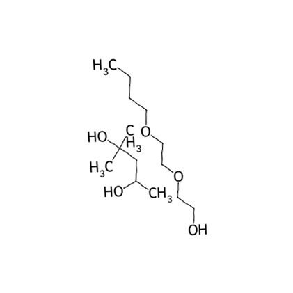 CC(O)CC(C)(C)O.CCCCOCCOCCO